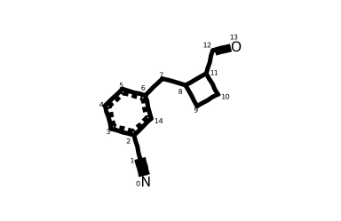 N#Cc1cccc(CC2CCC2C=O)c1